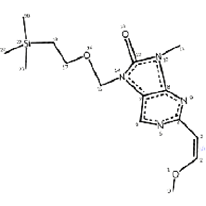 CO/C=C\c1ncc2c(n1)n(C)c(=O)n2COCC[Si](C)(C)C